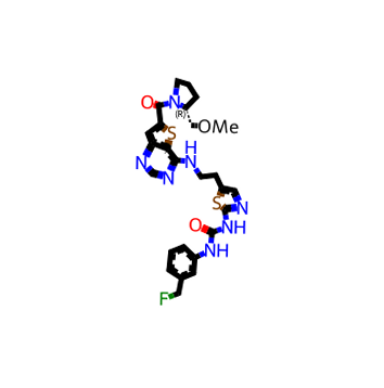 COC[C@H]1CCCN1C(=O)c1cc2ncnc(NCCc3cnc(NC(=O)Nc4cccc(CF)c4)s3)c2s1